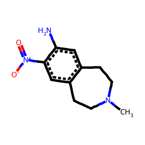 CN1CCc2cc(N)c([N+](=O)[O-])cc2CC1